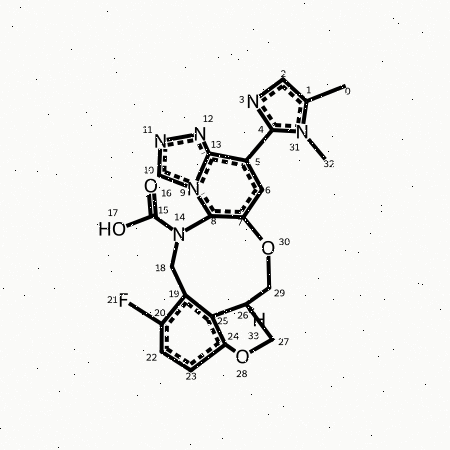 Cc1cnc(-c2cc3c(n4cnnc24)N(C(=O)O)Cc2c(F)ccc4c2[C@@H](CO4)CO3)n1C